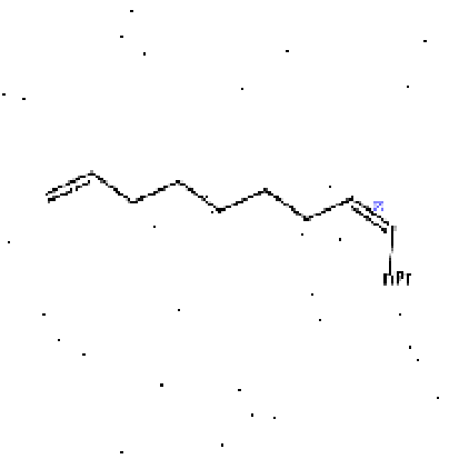 C=CCCCCC/C=C\CCC